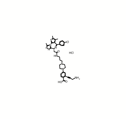 Cc1sc2c(c1C)C(c1ccc(Cl)cc1)=N[C@@H](CC(=O)NCCCN1CCN(c3ccc(C(=O)O)c(C#CCN)c3)CC1)c1nnc(C)n1-2.Cl